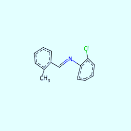 Cc1ccccc1C=Nc1ccccc1Cl